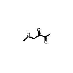 CNCC(=O)C(C)=O